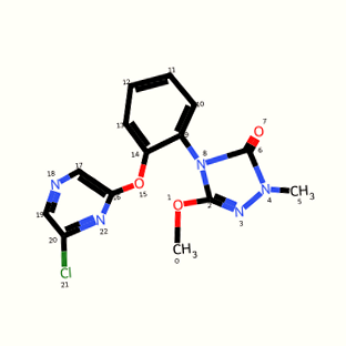 COc1nn(C)c(=O)n1-c1ccccc1Oc1cncc(Cl)n1